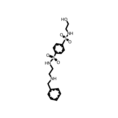 O=S(=O)(NCCO)c1ccc(S(=O)(=O)NCCNCc2ccccc2)cc1